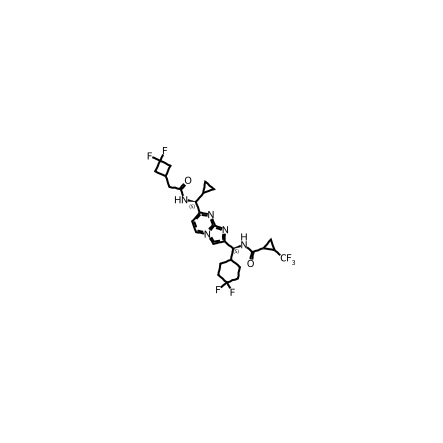 O=C(CC1CC(F)(F)C1)N[C@H](c1ccn2cc([C@@H](NC(=O)C3CC3C(F)(F)F)C3CCC(F)(F)CC3)nc2n1)C1CC1